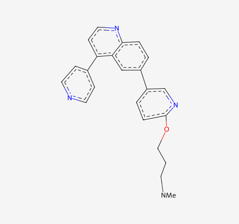 CNCCCOc1ccc(-c2ccc3nccc(-c4ccncc4)c3c2)cn1